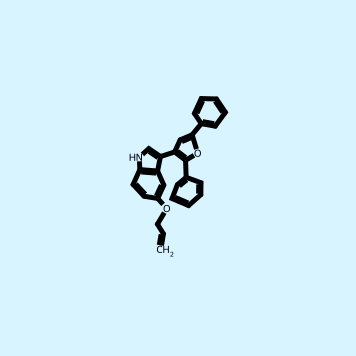 C=CCOc1ccc2[nH]cc(-c3cc(-c4ccccc4)oc3-c3ccccc3)c2c1